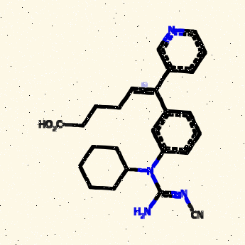 N#CN=C(N)N(c1cccc(/C(=C\CCCC(=O)O)c2cccnc2)c1)C1CCCCC1